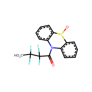 O=C(O)C(F)(F)C(F)(F)C(=O)N1c2ccccc2[S+]([O-])c2ccccc21